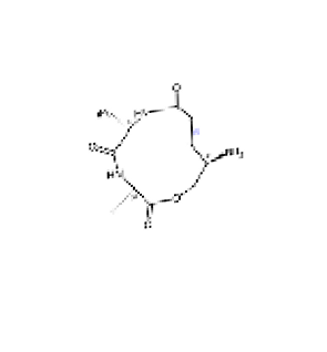 CC(C)[C@@H]1NC(=O)/C=C/[C@@H](N)COC(=O)[C@H](C)NC1=O